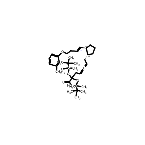 Cc1cccc(OCC/C=C/[C@H]2CCC[C@@H]2CC=C=CCC(O[Si](C)(C)C(C)(C)C)(O[Si](C)(C)C(C)(C)C)C(=O)O)c1